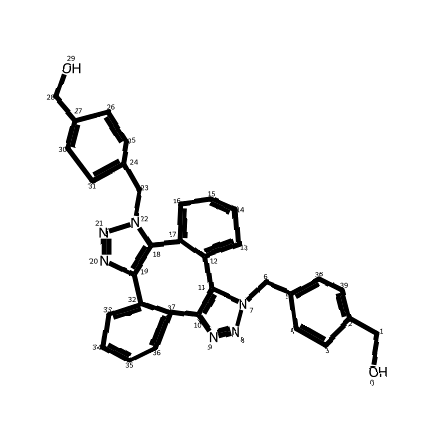 OCc1ccc(Cn2nnc3c2-c2ccccc2-c2c(nnn2Cc2ccc(CO)cc2)-c2ccccc2-3)cc1